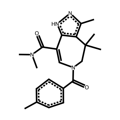 Cc1ccc(C(=O)N2C=C(C(=O)N(C)C)c3[nH]nc(C)c3C(C)(C)C2)cc1